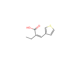 CCC(=Cc1ccsc1)C(=O)O